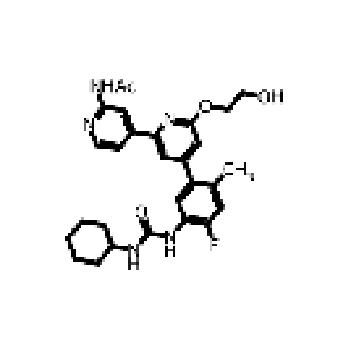 CC(=O)Nc1cc(-c2cc(-c3cc(NC(=O)NC4CCCCC4)c(F)cc3C)cc(OCCO)n2)ccn1